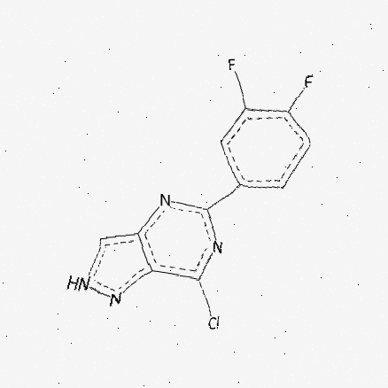 Fc1ccc(-c2nc(Cl)c3n[nH]cc3n2)cc1F